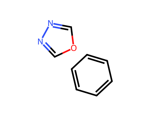 c1ccccc1.c1nnco1